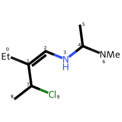 CC/C(=C/NC(C)NC)C(C)Cl